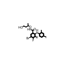 Cc1cc(I)ccc1Nc1c(C(=O)NOC(C)CCO)cc(Br)c(F)c1F